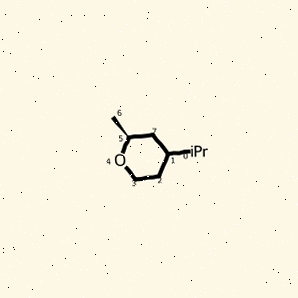 CC(C)C1CCO[C@@H](C)C1